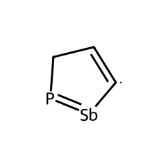 [C]1=CC[P]=[Sb]1